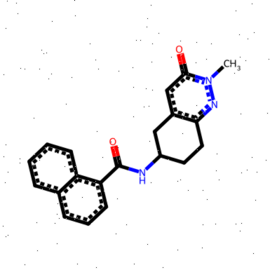 Cn1nc2c(cc1=O)CC(NC(=O)c1cccc3ccccc13)CC2